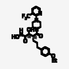 CCOc1ccc(CCC[C@@H](C(=O)N2CCN(c3ncccc3C(F)(F)F)CC2)[C@H](O)C(=O)NO)cc1